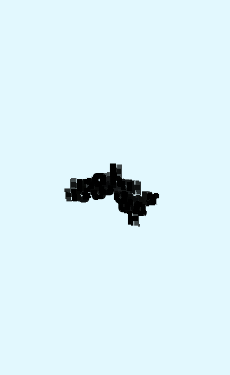 O=c1[nH]c(=O)n([C@H]2O[C@H](COC3O[C@H](CO)[C@@H](O)[C@@H]3O)[C@@H](O)[C@H]2O)cc1/C=C/Br